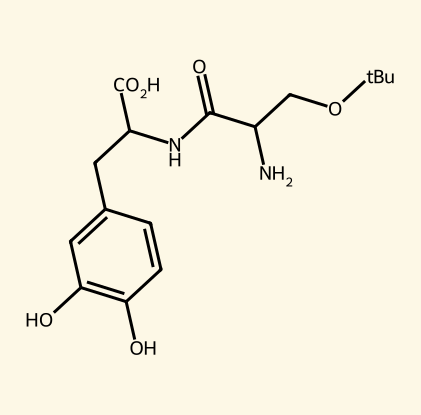 CC(C)(C)OCC(N)C(=O)NC(Cc1ccc(O)c(O)c1)C(=O)O